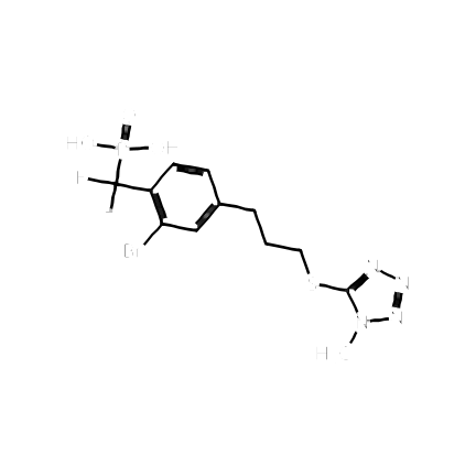 Cn1nnnc1SCCCc1ccc(C(F)(F)P(=O)(O)O)c(Br)c1